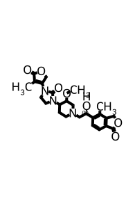 COC1CN(C[C@H](O)c2ccc3c(c2C)COC3=O)CCC1N1CCN(C2=C(C)C(=O)OC2)C1=O